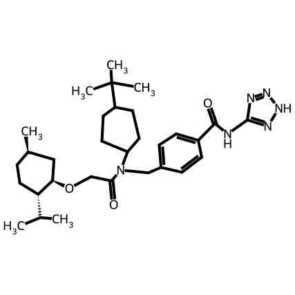 CC(C)[C@@H]1CC[C@@H](C)C[C@H]1OCC(=O)N(Cc1ccc(C(=O)Nc2nn[nH]n2)cc1)C1CCC(C(C)(C)C)CC1